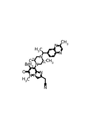 Cc1cnc2ccc(C(C)N3C[C@H](C)N(c4c(Br)c(=O)n(C)n5cc(CC#N)nc45)C[C@H]3C)cc2n1